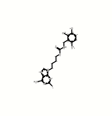 Nc1nc(F)nc2c1ncn2CCCCOC(=O)NCc1c(C(F)(F)F)ccc(Cl)c1Cl